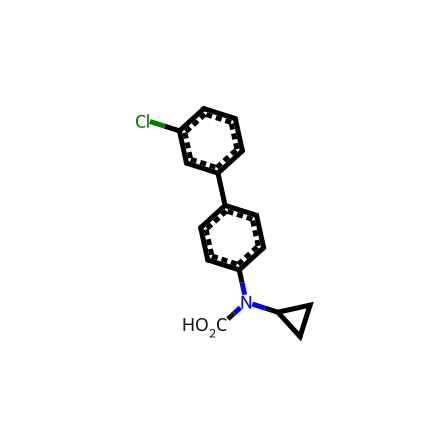 O=C(O)N(c1ccc(-c2cccc(Cl)c2)cc1)C1CC1